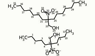 CCCCCC(CO)(CCCC)[N+](=O)[O-].CCCCCCCC(CO)(CCCCCCC)[N+](=O)[O-]